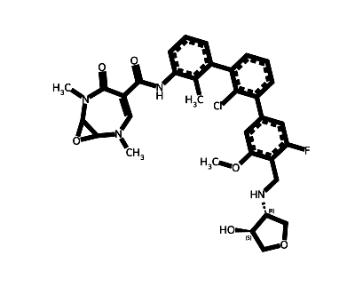 COc1cc(-c2cccc(-c3cccc(NC(=O)C4=CN(C)C5OC5N(C)C4=O)c3C)c2Cl)cc(F)c1CN[C@@H]1COC[C@H]1O